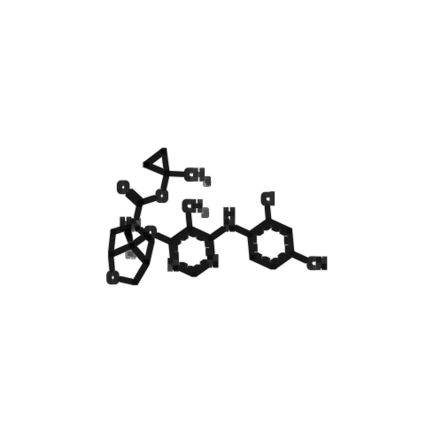 Cc1c(Nc2ccc(C#N)cc2Cl)ncnc1O[C@@H]1C2COC1CN(C(=O)OC1(C)CC1)C2